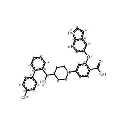 O=C(O)c1ccc(N2CCC(C(O)c3ccccc3-c3ccc(Cl)cc3)CC2)cc1Oc1cnc2[nH]ccc2c1